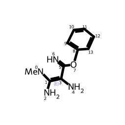 CN/C(N)=C(/N)C(=N)Oc1ccccc1